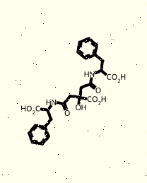 O=C(CC(O)(CC(=O)NC(Cc1ccccc1)C(=O)O)C(=O)O)NC(Cc1ccccc1)C(=O)O